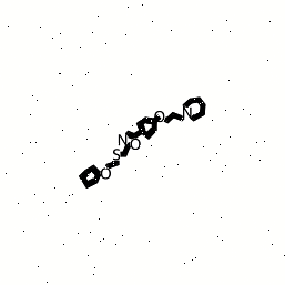 c1ccc(OCCSCc2ncc(-c3ccc(OCCCN4CCCCCC4)cc3)o2)cc1